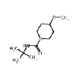 COC1CCN(C(=O)NC(C)(C)C)CC1